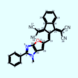 Cn1c(-c2ccccc2)nc2oc(C=C3C(=C(C#N)C#N)c4ccccc4C3=C(C#N)C#N)cc21